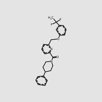 CC(F)(F)c1cccc(OCc2cccc(C(=O)N3CCC(c4ccccc4)CC3)n2)c1